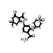 Cc1nn(-c2ccc(C(N)=O)c(NC3CCS(=O)(=O)CC3)c2)c2c1C(=O)CC(C)(C)C2